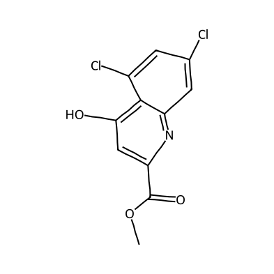 COC(=O)c1cc(O)c2c(Cl)cc(Cl)cc2n1